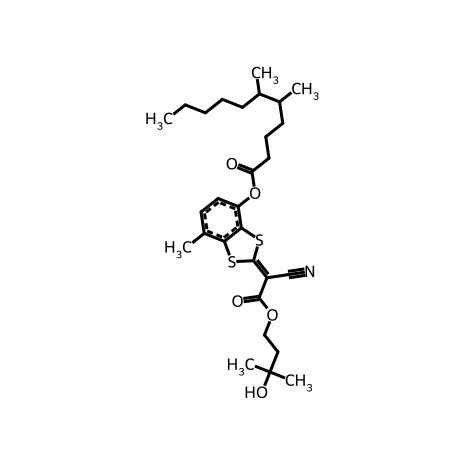 CCCCCC(C)C(C)CCCC(=O)Oc1ccc(C)c2c1S/C(=C(\C#N)C(=O)OCCC(C)(C)O)S2